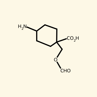 NC1CCC(COC=O)(C(=O)O)CC1